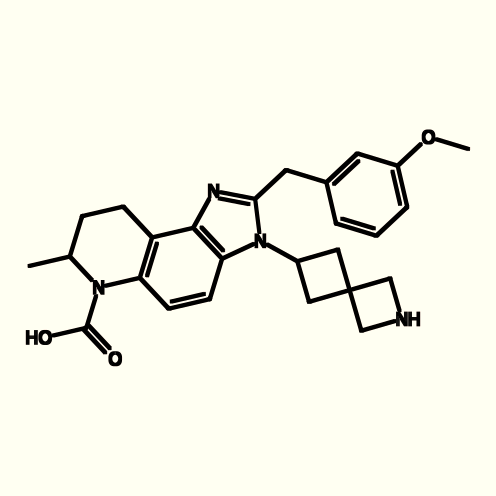 COc1cccc(Cc2nc3c4c(ccc3n2C2CC3(CNC3)C2)N(C(=O)O)C(C)CC4)c1